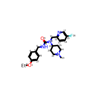 CCOc1ccc(CNC(=O)N(Cc2ccc(F)cn2)C2CCN(C)CC2)cc1